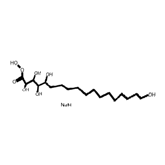 O=C(OO)C(O)C(O)C(O)C(O)CCCCCCCCCCCCCO.[NaH]